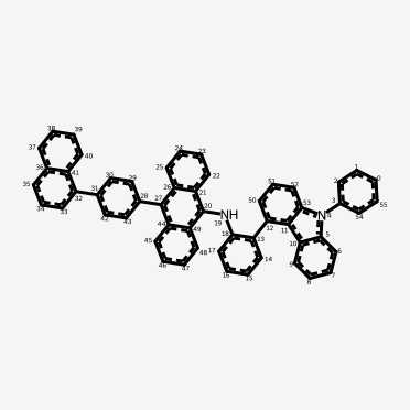 c1ccc(-n2c3ccccc3c3c(-c4ccccc4Nc4c5ccccc5c(-c5ccc(-c6cccc7ccccc67)cc5)c5ccccc45)cccc32)cc1